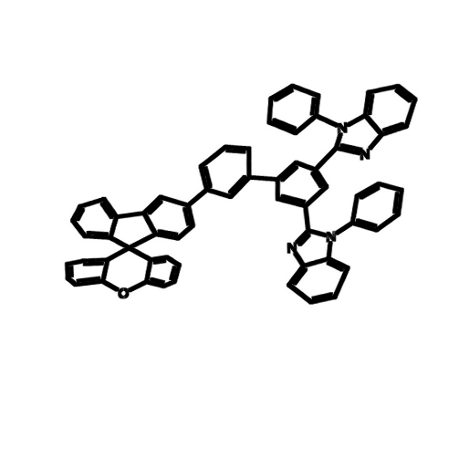 c1ccc(-n2c(-c3cc(-c4cccc(-c5ccc6c(c5)-c5ccccc5C65c6ccccc6Oc6ccccc65)c4)cc(-c4nc5ccccc5n4-c4ccccc4)c3)nc3ccccc32)cc1